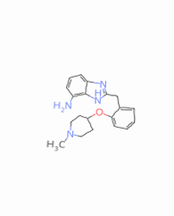 CN1CCC(Oc2ccccc2Cc2nc3cccc(N)c3[nH]2)CC1